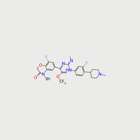 C=C(OC(F)(F)F)/C(=N\C(=N/C)Nc1ccc(C2CCN(C)CC2)c(F)c1)c1cc(F)c2c(c1)N(C(C)C)C(=O)CO2